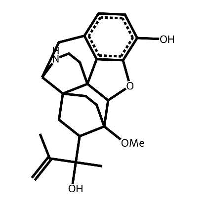 C=C(C)C(C)(O)C1CC23CCC1(OC)C1Oc4c(O)ccc5c4C12CCNC3C5